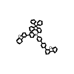 c1ccc(C2(c3ccccc3)c3ccccc3-c3c(N(c4ccc(-c5ccc(-c6cccc7c6oc6ccccc67)cc5)cc4)c4ccc(-c5ccc6oc7ccccc7c6c5)cc4)cccc32)cc1